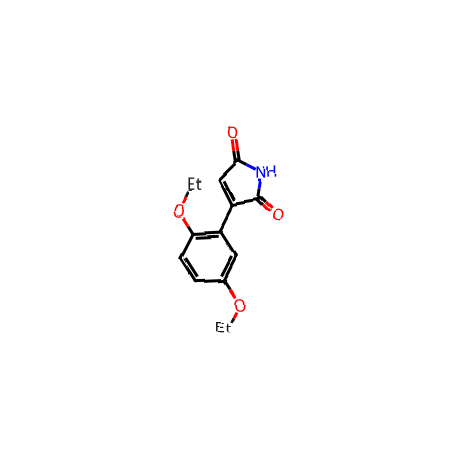 CCOc1ccc(OCC)c(C2=CC(=O)NC2=O)c1